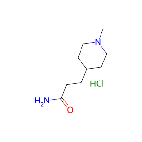 CN1CCC(CCC(N)=O)CC1.Cl